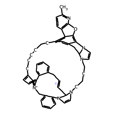 Cc1ccc2c(n1)oc1c3c4cc(c12)CCCCCCc1ccc2[n+](c1)Cc1ccccc1N1C=CN(CCCCN5C=CN3C5C4)C1/C=C/Cc1ccccc1-2